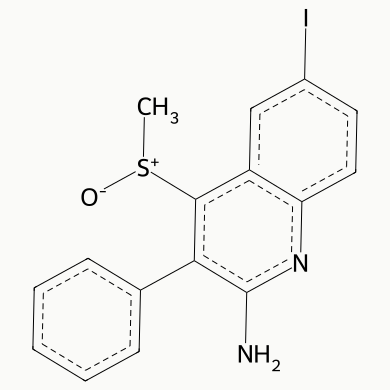 C[S+]([O-])c1c(-c2ccccc2)c(N)nc2ccc(I)cc12